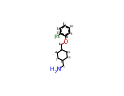 NCC1CCC(COc2ccccc2F)CC1